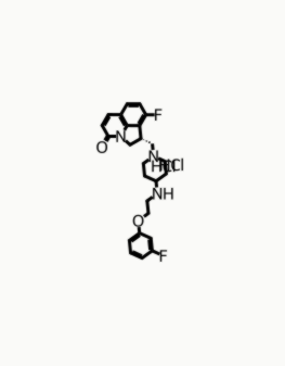 Cl.Cl.O=c1ccc2ccc(F)c3c2n1C[C@H]3CN1CCC(NCCOc2cccc(F)c2)CC1